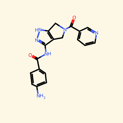 Nc1ccc(C(=O)Nc2n[nH]c3c2CN(C(=O)c2cccnc2)C3)cc1